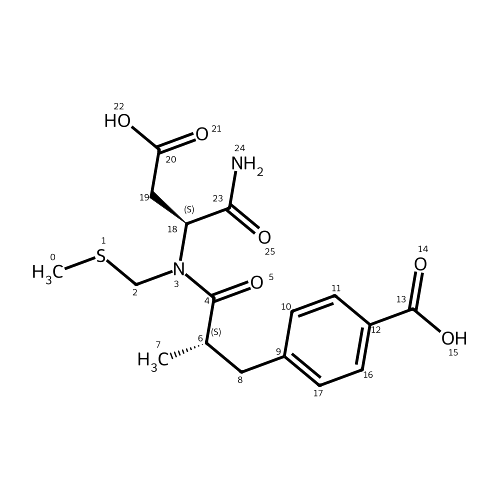 CSCN(C(=O)[C@@H](C)Cc1ccc(C(=O)O)cc1)[C@@H](CC(=O)O)C(N)=O